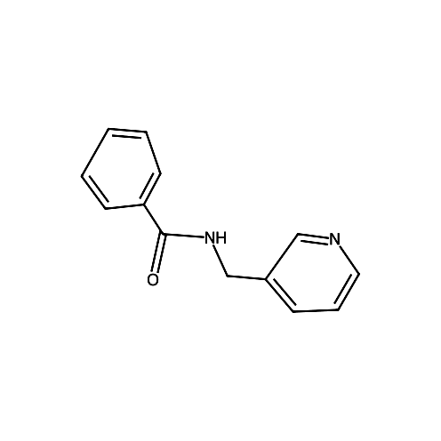 O=C(NCc1cccnc1)c1ccccc1